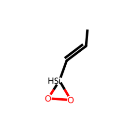 CC=C[SiH]1OO1